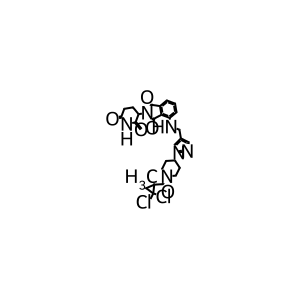 C[C@]1(C(=O)N2CCC(n3cc(CNc4cccc5c4C(=O)N(C4CCC(=O)NC4=O)C5=O)cn3)CC2)CC1(Cl)Cl